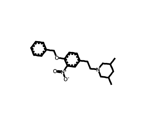 CC1CC(C)CN(CCc2ccc(OCc3ccccc3)c([N+](=O)[O-])c2)C1